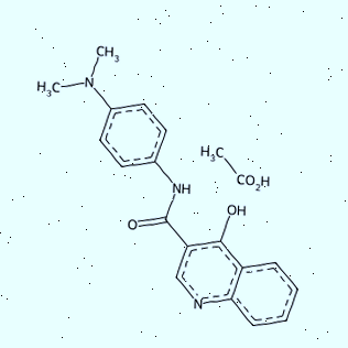 CC(=O)O.CN(C)c1ccc(NC(=O)c2cnc3ccccc3c2O)cc1